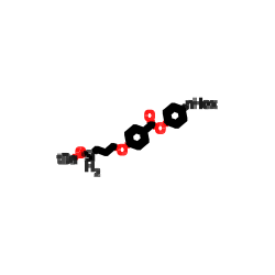 CCCCCCc1ccc(OC(=O)c2ccc(OCCC[SiH2]OC(C)(C)C)cc2)cc1